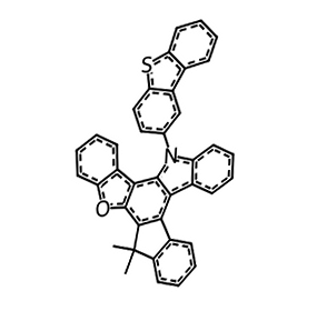 CC1(C)c2ccccc2-c2c1c1oc3ccccc3c1c1c2c2ccccc2n1-c1ccc2sc3ccccc3c2c1